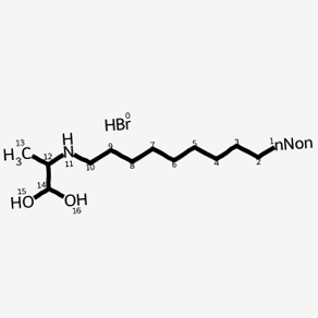 Br.CCCCCCCCCCCCCCCCCCNC(C)C(O)O